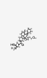 COCCCC[C@@](O)(c1cccc(F)c1Oc1ccccc1)C1CCCN(C(=O)[C@H]2C[C@@H](N)[C@@H](O)C2)C1